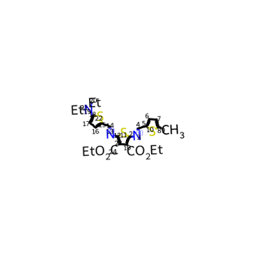 CCOC(=O)c1c(/N=C/c2ccc(C)s2)sc(/N=C/c2ccc(N(CC)CC)s2)c1C(=O)OCC